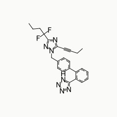 CCC#Cc1nc(C(F)(F)CCC)nn1Cc1ccc(-c2ccccc2-c2nnn[nH]2)cc1